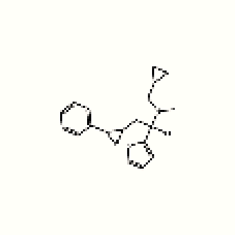 CCC(CC1CC1c1ccccc1)(c1cccs1)N(C)CC1CC1